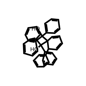 OC(c1ccccc1)(c1ccccc1)C1(C(O)(c2ccccc2)c2ccccc2)C=CC=CC1c1ccccc1